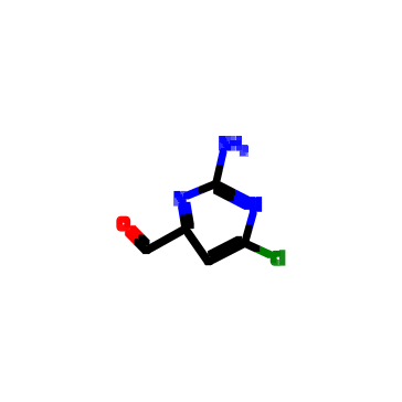 Nc1nc(Cl)cc(C=O)n1